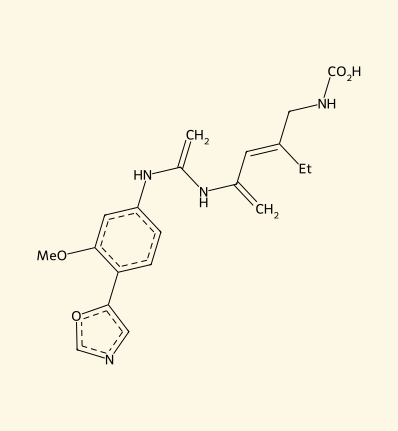 C=C(/C=C(\CC)CNC(=O)O)NC(=C)Nc1ccc(-c2cnco2)c(OC)c1